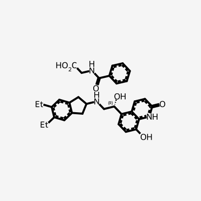 CCc1cc2c(cc1CC)CC(NC[C@H](O)c1ccc(O)c3[nH]c(=O)ccc13)C2.O=C(O)CNC(=O)c1ccccc1